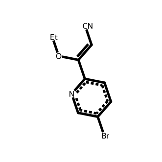 CCOC(=CC#N)c1ccc(Br)cn1